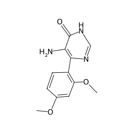 COc1ccc(-c2nc[nH]c(=O)c2N)c(OC)c1